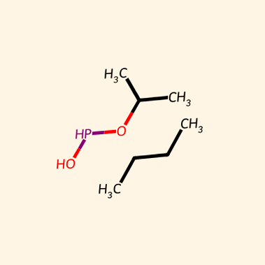 CC(C)OPO.CCCC